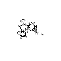 CN(Cc1ccco1)c1nnc(N)[nH]1